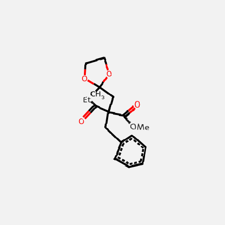 CCC(=O)C(Cc1ccccc1)(CC1(C)OCCO1)C(=O)OC